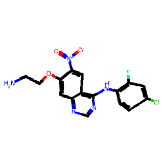 NCCOc1cc2ncnc(Nc3ccc(Cl)cc3F)c2cc1[N+](=O)[O-]